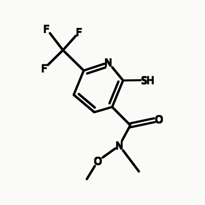 CON(C)C(=O)c1ccc(C(F)(F)F)nc1S